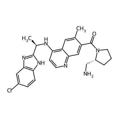 Cc1cc2c(N[C@H](C)c3nc4cc(Cl)ccc4[nH]3)ccnc2cc1C(=O)N1CCC[C@@H]1CN